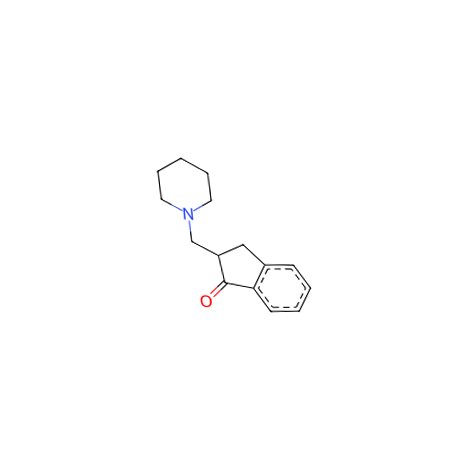 O=C1c2ccccc2CC1CN1CCCCC1